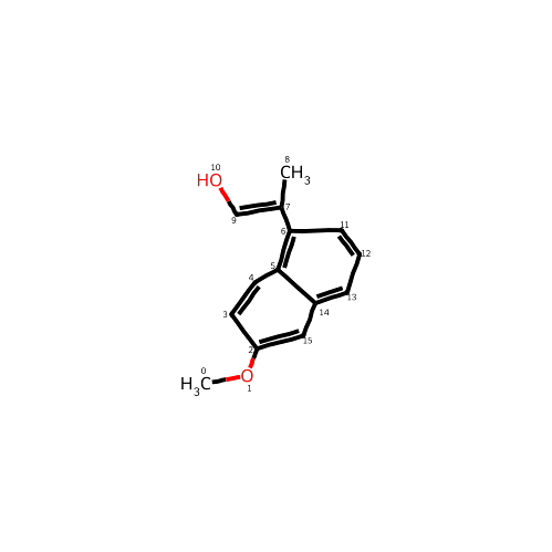 COc1ccc2c(C(C)=CO)cccc2c1